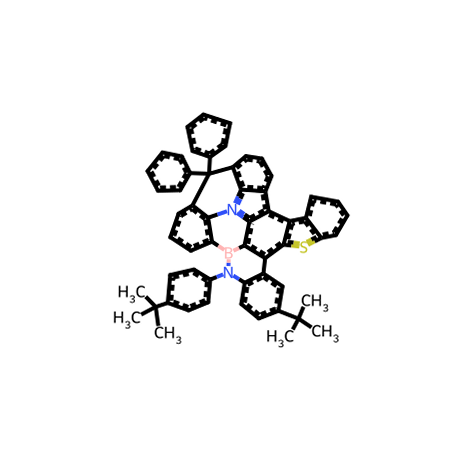 CC(C)(C)c1ccc(N2B3c4cccc5c4-n4c6c(cccc6c6c7c(sc8ccccc87)c(c3c64)-c3cc(C(C)(C)C)ccc32)C5(c2ccccc2)c2ccccc2)cc1